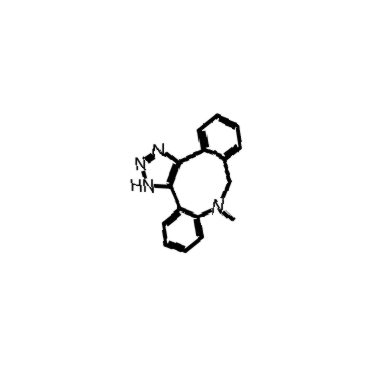 CN1Cc2ccccc2-c2nn[nH]c2-c2ccccc21